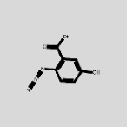 CCC(=O)c1cc(O)ccc1N=[N+]=[N-]